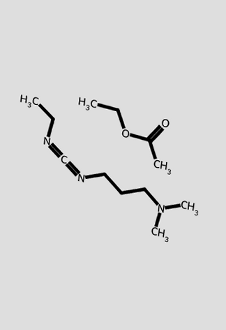 CCN=C=NCCCN(C)C.CCOC(C)=O